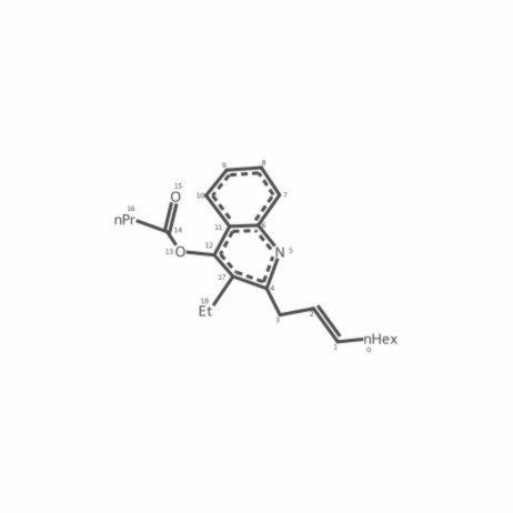 CCCCCC/C=C/Cc1nc2ccccc2c(OC(=O)CCC)c1CC